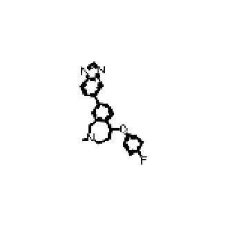 CN1CCC(Oc2ccc(F)cc2)c2ccc(-c3ccc4ncnn4c3)cc2C1